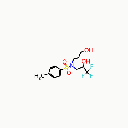 Cc1ccc(S(=O)(=O)N(CCCO)CC(O)C(F)(F)F)cc1